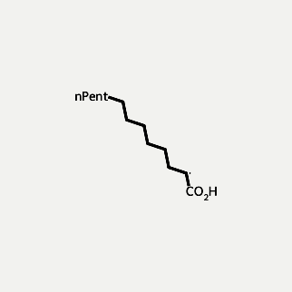 [CH2]CCCCCCCCCC[CH]C(=O)O